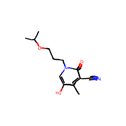 Cc1c(O)cn(CCCOC(C)C)c(=O)c1C#N